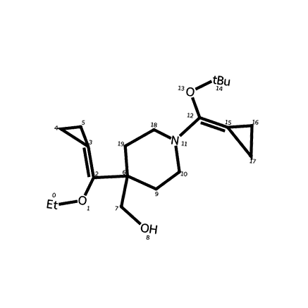 CCOC(=C1CC1)C1(CO)CCN(C(OC(C)(C)C)=C2CC2)CC1